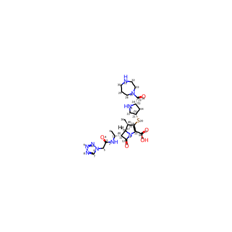 CC(NC(=O)Cn1cnnn1)[C@H]1C(=O)N2C(C(=O)O)=C(S[C@@H]3CN[C@H](C(=O)N4CCCNCC4)C3)[C@H](C)[C@H]12